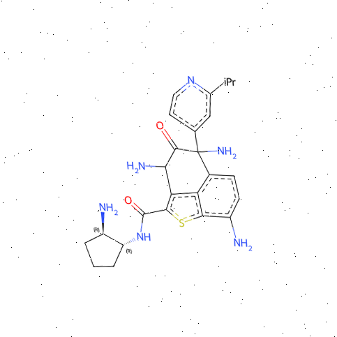 CC(C)c1cc(C2(N)C(=O)C(N)c3c(C(=O)N[C@@H]4CCC[C@H]4N)sc4c(N)ccc2c34)ccn1